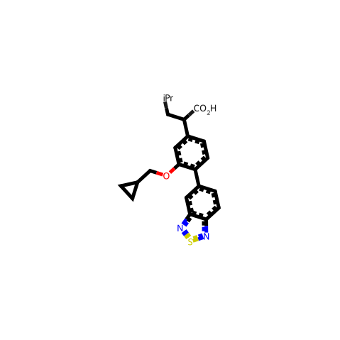 CC(C)CC(C(=O)O)c1ccc(-c2ccc3nsnc3c2)c(OCC2CC2)c1